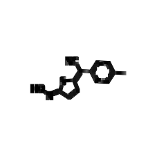 Cc1ccc(C(C#N)=C2C=CC(=NO)S2)cc1